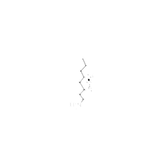 CCCCCCCCN.[N-]=[N+]=[N-]